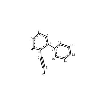 CC#Cc1ccccc1-c1ccccc1